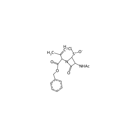 C=C(C)C(C(=O)OCc1ccccc1)N1C(=O)C(NC(C)=O)C1[S+]([O-])Cl